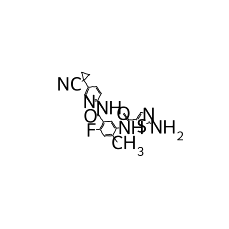 Cc1cc(F)c(C(=O)Nc2ccc(C3(C#N)CC3)cn2)cc1NC(=O)c1cnc(N)s1